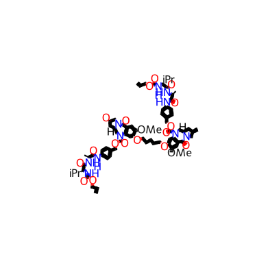 C=CCOC(=O)N[C@H](C(=O)N[C@@H](C)C(=O)Nc1ccc(COC(=O)N2C[C@@H]3CC(=C)CN3C(=O)c3cc(OC)c(OCCCCCOc4cc5c(cc4OC)C(=O)N4CC(=O)C[C@H]4CN5C(=O)OCc4ccc(NC(=O)[C@H](C)NC(=O)[C@@H](NC(=O)OCC=C)C(C)C)cc4)cc32)cc1)C(C)C